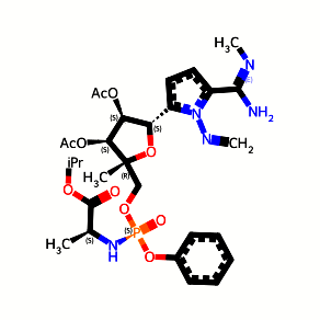 C=Nn1c(/C(N)=N\C)ccc1[C@@H]1O[C@](C)(CO[P@@](=O)(N[C@@H](C)C(=O)OC(C)C)Oc2ccccc2)[C@@H](OC(C)=O)[C@H]1OC(C)=O